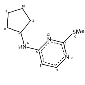 CSc1nc[c]c(NC2CCCC2)n1